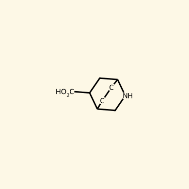 O=C(O)C1CC2CCC1CN2